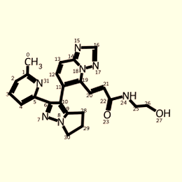 Cc1cccc(-c2nn3c(c2-c2ccc4ncnn4c2/C=C/C(=O)NCCO)CCC3)n1